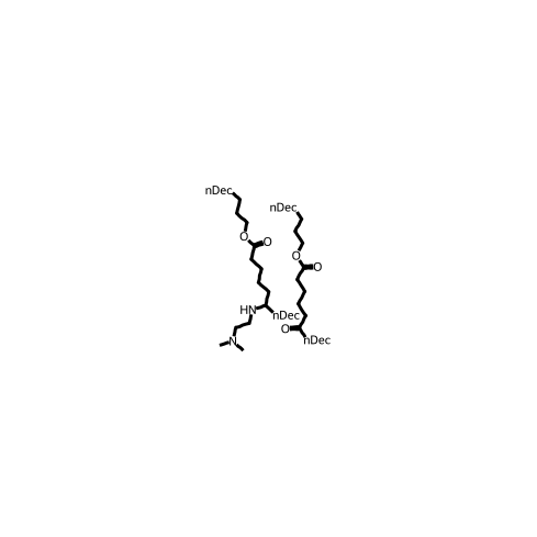 CCCCCCCCCCCCCOC(=O)CCCCC(=O)CCCCCCCCCC.CCCCCCCCCCCCCOC(=O)CCCCC(CCCCCCCCCC)NCCN(C)C